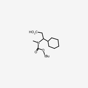 CN(C(=O)OC(C)(C)C)C(CC(=O)O)C1CCCCC1